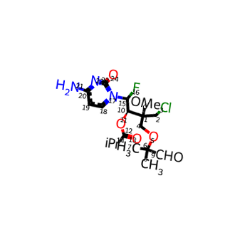 COC(CCl)(COC(C)(C)C=O)[C@@H](OC(=O)C(C)C)C(F)n1ccc(N)nc1=O